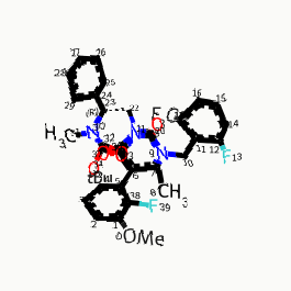 COc1cccc(-c2c(C)n(Cc3c(F)cccc3C(F)(F)F)c(=O)n(C[C@@H](c3ccccc3)N(C)C(=O)OC(C)(C)C)c2=O)c1F